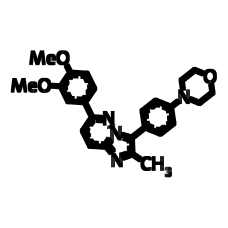 COc1ccc(-c2ccc3nc(C)c(-c4ccc(N5CCOCC5)cc4)n3n2)cc1OC